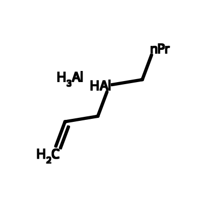 C=C[CH2][AlH][CH2]CCC.[AlH3]